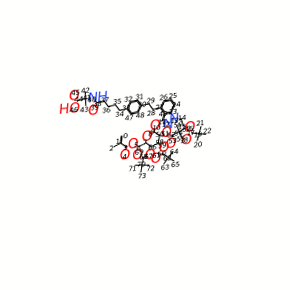 C=C(C)C(=O)OC[C@H]1O[C@@H](Oc2nn(CCOC(=O)C(C)(C)C)c3cccc(CCc4ccc(CCCCC(=O)NC(C)(C)C(=O)O)cc4)c23)[C@H](OC(=O)C(C)(C)C)[C@@H](OC(=O)C(C)(C)C)[C@@H]1OC(=O)C(C)(C)C